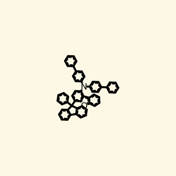 c1ccc(-c2ccc(N(c3ccc(-c4ccccc4)cc3)c3ccc(C4(c5ccccc5)c5ccccc5-c5ccccc54)c4oc5ccccc5c34)cc2)cc1